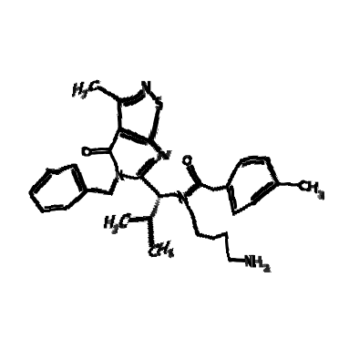 Cc1ccc(C(=O)N(CCCN)[C@@H](c2nc3snc(C)c3c(=O)n2Cc2ccccc2)C(C)C)cc1